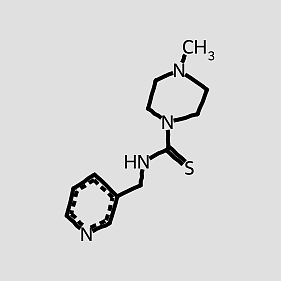 CN1CCN(C(=S)NCc2cccnc2)CC1